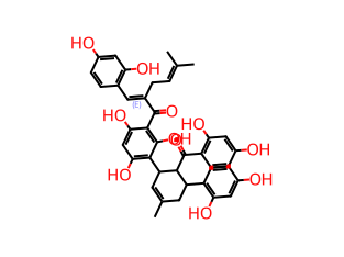 CC(C)=CC/C(=C\c1ccc(O)cc1O)C(=O)c1c(O)cc(O)c(C2C=C(C)CC(c3ccc(O)cc3O)C2C(=O)c2ccc(O)cc2O)c1O